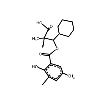 Cc1cc(I)c(O)c(C(=O)OC(C2CCCCC2)C(C)(F)C(=O)O)c1